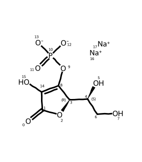 O=C1O[C@H]([C@@H](O)CO)C(OP(=O)([O-])[O-])=C1O.[Na+].[Na+]